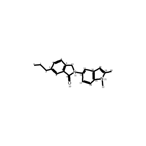 CCCc1ccc2c(c1)C(=O)N(c1ccc3c(c1)cc(C)n3C)C2